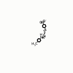 Cc1ccc(N/N=N\CCSSc2ccc([N+](=O)[O-])cc2)cc1